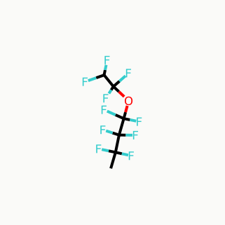 CC(F)(F)C(F)(F)C(F)(F)OC(F)(F)C(F)F